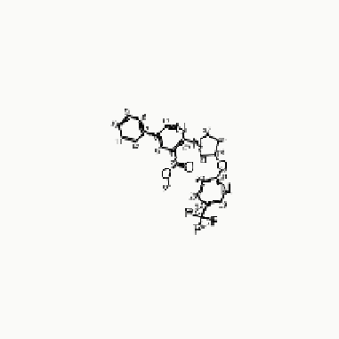 COC(=O)c1cc(-c2ccccc2)cnc1N1CC[C@@H](Oc2ccc(C(F)(F)F)cn2)C1